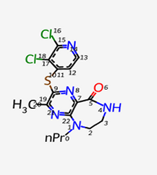 CCCN1CCNC(=O)c2nc(Sc3ccnc(Cl)c3Cl)c(C)nc21